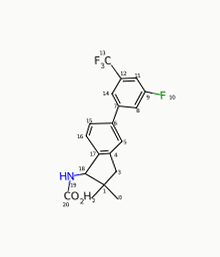 CC1(C)Cc2cc(-c3cc(F)cc(C(F)(F)F)c3)ccc2C1NC(=O)O